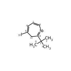 CC(C)(C)C1=NC=CC=C(I)C1